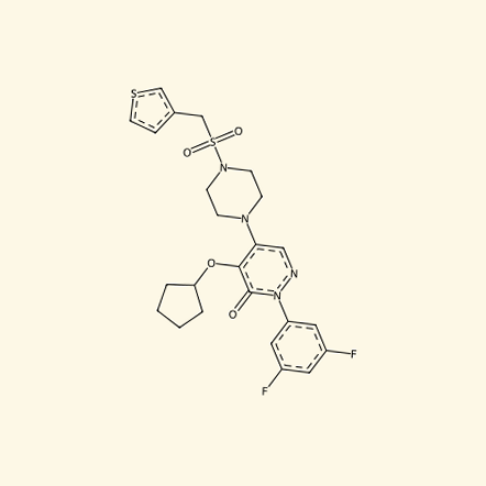 O=c1c(OC2CCCC2)c(N2CCN(S(=O)(=O)Cc3ccsc3)CC2)cnn1-c1cc(F)cc(F)c1